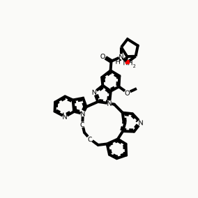 COc1cc(C(=O)N2CC3CCC2[C@@H]3N)cc2nc3n(c12)Cc1cncc(c1)-c1ccccc1CCCCn1c-3cc2cccnc21